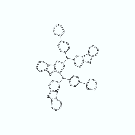 c1ccc(-c2ccc(N(c3ccc4sc5ccccc5c4c3)c3cc(N(c4ccc(-c5ccccc5)cc4)c4ccc5sc6ccccc6c5c4)c4oc5ccccc5c4c3)cc2)cc1